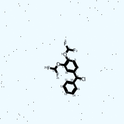 FC(F)Oc1ccc(C(Cl)c2ccccc2)cc1OC(F)F